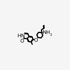 C=CC[C@]1(N)CC[C@@H](Oc2cc3cc[nH]c(=O)c3cc2C)CC1